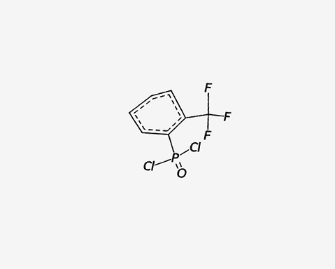 O=P(Cl)(Cl)c1ccccc1C(F)(F)F